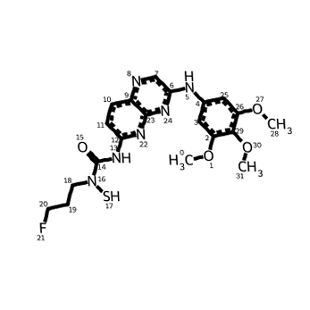 COc1cc(Nc2cnc3ccc(NC(=O)N(S)CCCF)nc3n2)cc(OC)c1OC